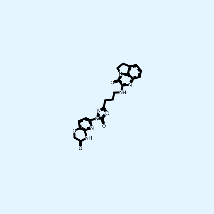 O=C1COc2ccc(-n3nc(CCCNc4nc5cccc6c5n(c4=O)CC6)oc3=O)nc2N1